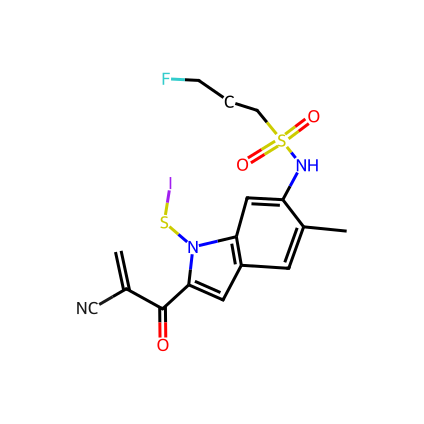 C=C(C#N)C(=O)c1cc2cc(C)c(NS(=O)(=O)CCCF)cc2n1SI